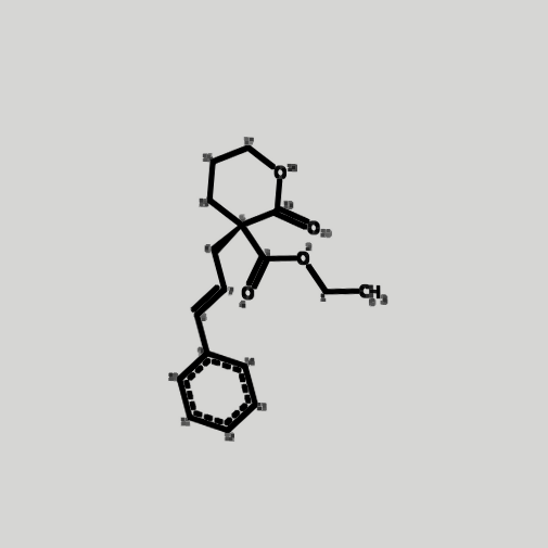 CCOC(=O)[C@]1(CC=Cc2ccccc2)CCCOC1=O